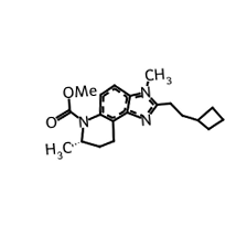 COC(=O)N1c2ccc3c(nc(CCC4CCC4)n3C)c2CC[C@@H]1C